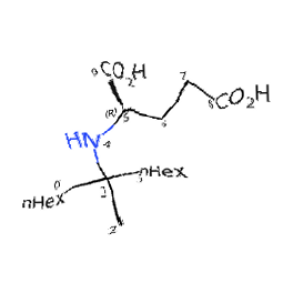 CCCCCCC(C)(CCCCCC)N[C@H](CCC(=O)O)C(=O)O